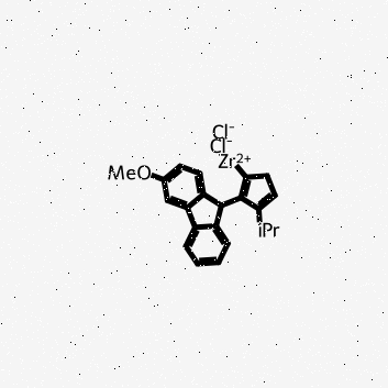 COc1ccc2c(c1)-c1ccccc1C2C1=[C]([Zr+2])CC=C1C(C)C.[Cl-].[Cl-]